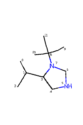 CC(C)C1CNCN1C(C)(C)C